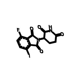 O=C1CCC(N2C(=O)c3c(F)ccc(I)c3C2=O)C(=O)N1